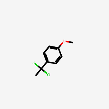 COc1ccc(C(C)(Cl)Cl)cc1